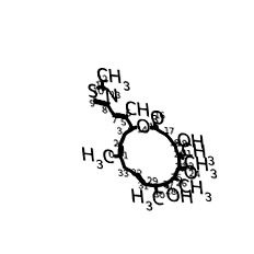 C/C1=C/CC(/C(C)=C/c2csc(C)n2)OC(=O)C[C@H](O)C(C)(C)C(=O)C(C)[C@@H](O)C(C)/C=C/C1